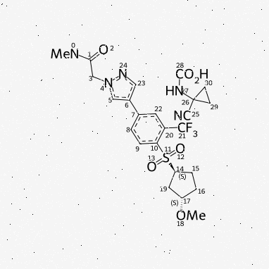 CNC(=O)Cn1cc(-c2ccc(S(=O)(=O)[C@H]3CC[C@H](OC)C3)c(C(F)(F)F)c2)cn1.N#CC1(NC(=O)O)CC1